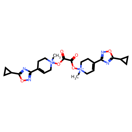 C[N+]1(OC(=O)C(=O)O[N+]2(C)CC=C(c3noc(C4CC4)n3)CC2)CC=C(c2noc(C3CC3)n2)CC1